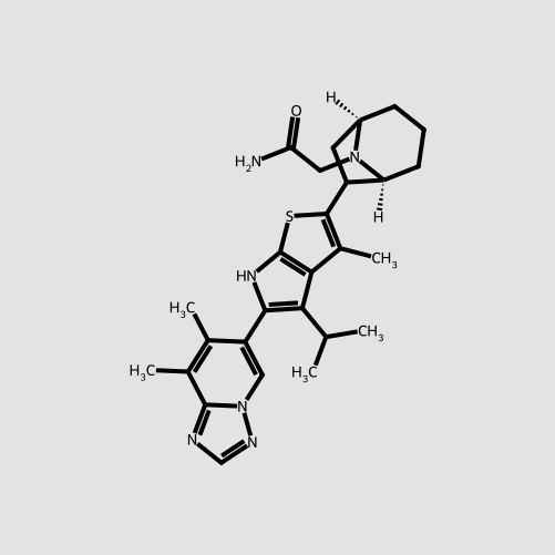 Cc1c(-c2[nH]c3sc(C4C[C@H]5CCC[C@@H]4N5CC(N)=O)c(C)c3c2C(C)C)cn2ncnc2c1C